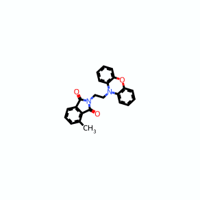 Cc1cccc2c1C(=O)N(CCN1c3ccccc3Oc3ccccc31)C2=O